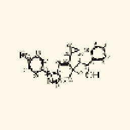 C[C@@]1(CC(O)c2ccccc2)Cc2cnn(-c3ccc(F)cc3)c2C=C1C1CC1